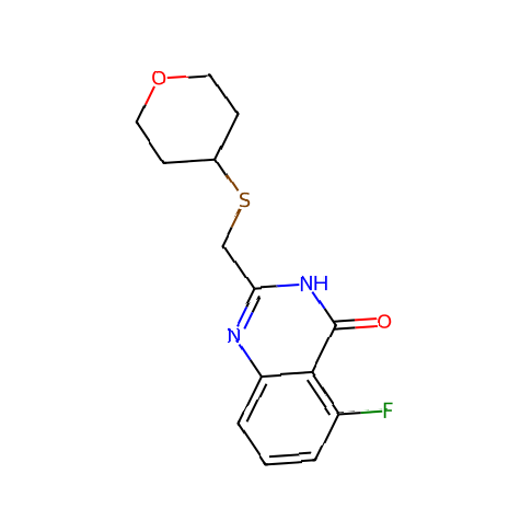 O=c1[nH]c(CSC2CCOCC2)nc2cccc(F)c12